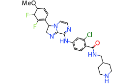 COC1C=CC(C2CN=C3C(Nc4ccc(C(=O)NCC5CCNCC5)c(Cl)c4)=NC=CN32)=C(F)C1F